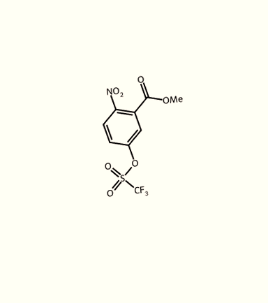 COC(=O)c1cc(OS(=O)(=O)C(F)(F)F)ccc1[N+](=O)[O-]